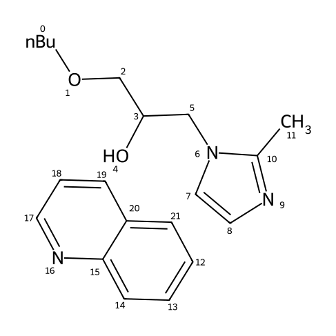 CCCCOCC(O)Cn1ccnc1C.c1ccc2ncccc2c1